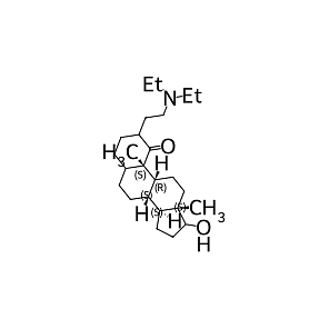 CCN(CC)CCC1CCC2CC[C@@H]3[C@@H](CC[C@]4(C)C(O)CC[C@@H]34)[C@@]2(C)C1=O